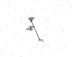 CCCCCCCCCCCCCCCCCCCCCCCCOC(=O)c1ccccc1O.O=C(O)c1ccccc1O